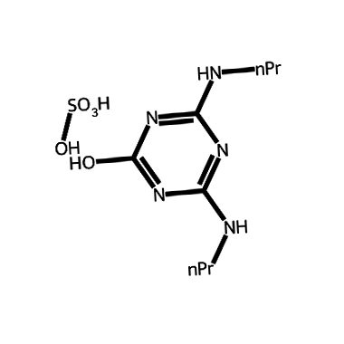 CCCNc1nc(O)nc(NCCC)n1.O=S(=O)(O)O